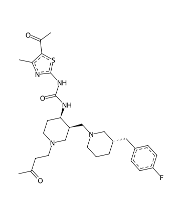 CC(=O)CCN1CC[C@@H](NC(=O)Nc2nc(C)c(C(C)=O)s2)[C@@H](CN2CCC[C@@H](Cc3ccc(F)cc3)C2)C1